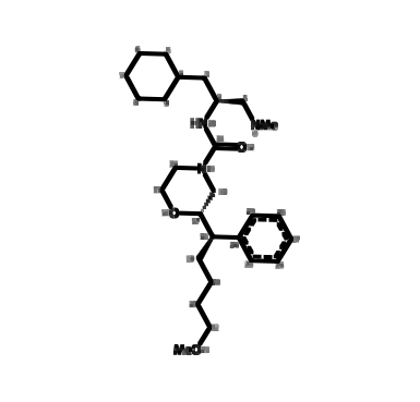 CNC[C@H](CC1CCCCC1)NC(=O)N1CCO[C@@H]([C@H](CCCCOC)c2ccccc2)C1